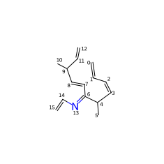 C=C/C=C\C(C)C(/C=C/C(C)C=C)=N/C=C